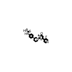 CNC(=S)Nc1ccc([C@@H]2CCCN(c3nc(-c4ccncc4F)cc(=O)n3C)C2)cc1